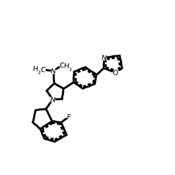 CN(C)C1CN(C2CCc3cccc(F)c32)CC1c1ccc(-c2ncco2)cc1